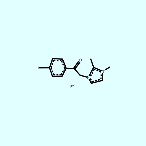 Cc1n(CC(=O)c2ccc(Cl)cc2)cc[n+]1C.[Br-]